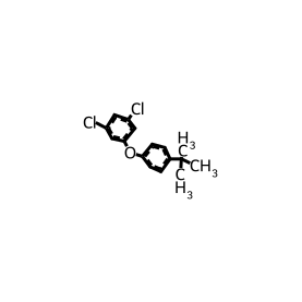 CC(C)(C)c1ccc(Oc2cc(Cl)cc(Cl)c2)cc1